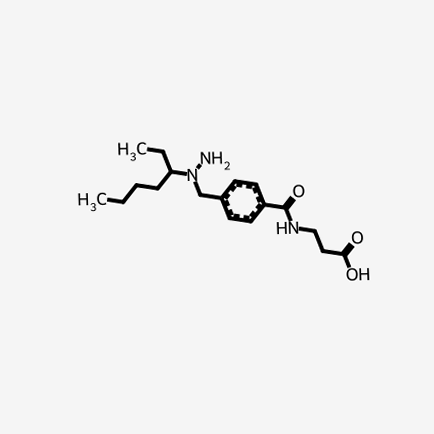 CCCCC(CC)N(N)Cc1ccc(C(=O)NCCC(=O)O)cc1